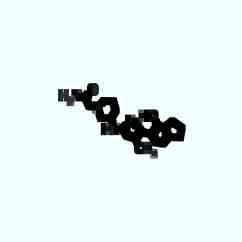 Cc1cc(NC2CCCN(CC(N)=O)C2)nnc1-c1ccc2c(c1O)CCC2